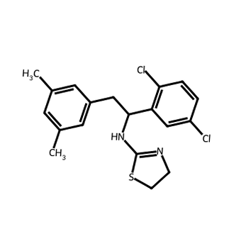 Cc1cc(C)cc(CC(NC2=NCCS2)c2cc(Cl)ccc2Cl)c1